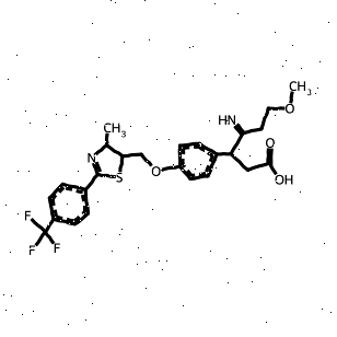 COCCC(=N)C(CC(=O)O)c1ccc(OCC2SC(c3ccc(C(F)(F)F)cc3)=NC2C)cc1